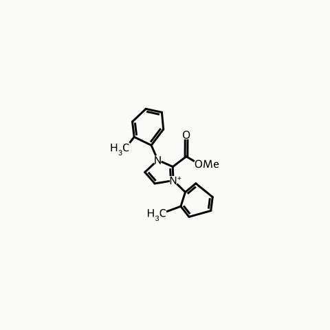 COC(=O)c1n(-c2ccccc2C)cc[n+]1-c1ccccc1C